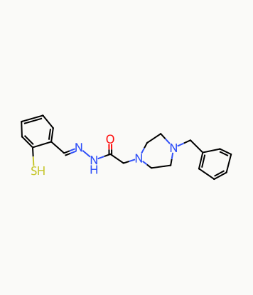 O=C(CN1CCN(Cc2ccccc2)CC1)N/N=C/c1ccccc1S